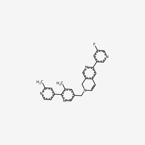 Cc1cc(-c2ncc(CN3C=Cc4cc(-c5cncc(F)c5)ncc4C3)cc2C)ccn1